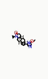 CCOc1cncc(C2=CC[C@H]3[C@@H]4CC=C5N(C6CC6)C(=O)CC[C@]5(C)[C@H]4CC[C@]23C)n1